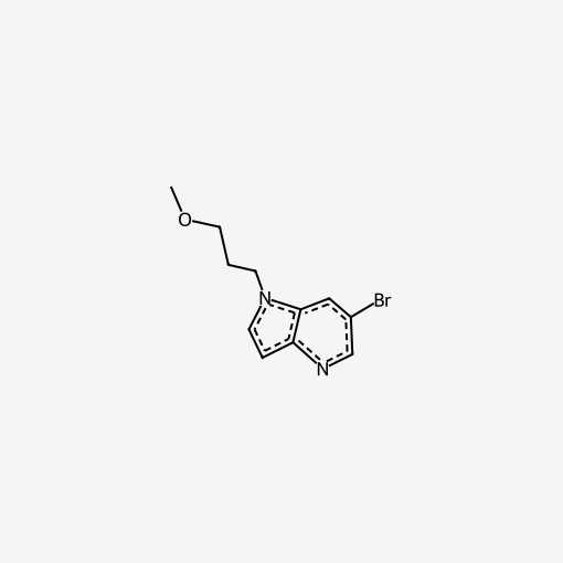 COCCCn1ccc2ncc(Br)cc21